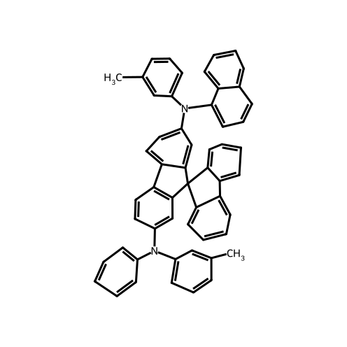 Cc1cccc(N(c2ccccc2)c2ccc3c(c2)C2(c4ccccc4-c4ccccc42)c2cc(N(c4cccc(C)c4)c4cccc5ccccc45)ccc2-3)c1